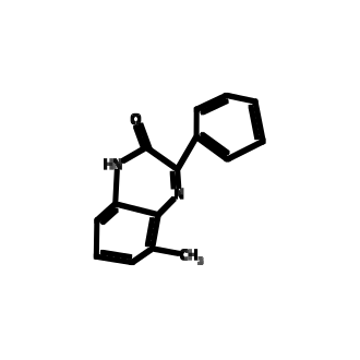 Cc1cccc2[nH]c(=O)c(-c3ccccc3)nc12